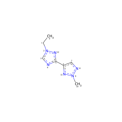 CCn1cnc(-c2[c]nn(C)n2)n1